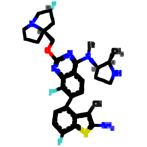 CCN(c1nc(OC[C@@]23CCCN2C[C@H](F)C3)nc2c(F)c(-c3ccc(F)c4sc(N)c(C#N)c34)ccc12)[C@@H]1CCN[C@@H]1C